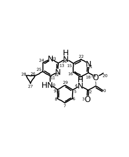 C=CC(=O)Nc1cccc(Nc2nc(Nc3ccc(OC)nc3)ncc2C2CC2)c1